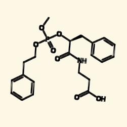 COP(=O)(OCCc1ccccc1)O[C@@H](Cc1ccccc1)C(=O)NCCC(=O)O